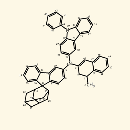 CC1CC(N(c2ccc3c(c2)-c2ccccc2C32C3CC4CC(C3)CC2C4)c2ccc3c(c2)c2ccccc2n3-c2ccccc2)=Cc2ccccc21